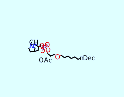 CCCCCCCCCCCCCCCCOCC(COP(=O)([O-])OC1CC2CC[N+](C)(C2)C1)OC(C)=O